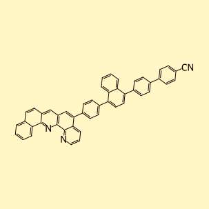 N#Cc1ccc(-c2ccc(-c3ccc(-c4ccc(-c5cc6cc7ccc8ccccc8c7nc6c6ncccc56)cc4)c4ccccc34)cc2)cc1